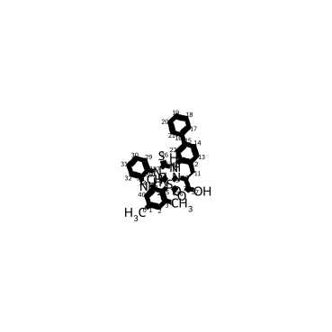 Cc1cc(C)c(S(=O)(=O)N[C@@H](Cc2ccc(-c3ccccc3)cc2NC(=S)Nc2ccccc2N)C(=O)O)c(C)c1